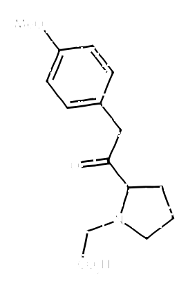 COc1ccc(CC(=O)C2CCCN2CC(=O)O)cc1